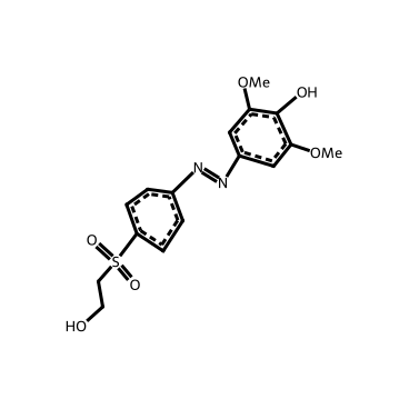 COc1cc(N=Nc2ccc(S(=O)(=O)CCO)cc2)cc(OC)c1O